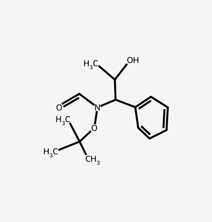 CC(O)C(c1ccccc1)N(C=O)OC(C)(C)C